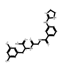 O=C(CNC(=O)c1cccc(NC2=NCCN2)c1)NC(Cc1cc(Cl)cc(Cl)c1)C(=O)O